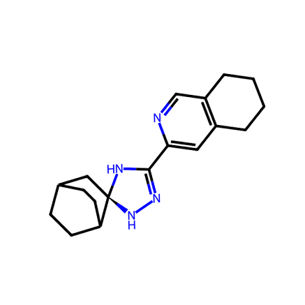 c1nc(C2=NN[C@@]3(CC4CCC3CC4)N2)cc2c1CCCC2